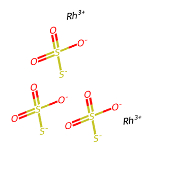 O=S(=O)([O-])[S-].O=S(=O)([O-])[S-].O=S(=O)([O-])[S-].[Rh+3].[Rh+3]